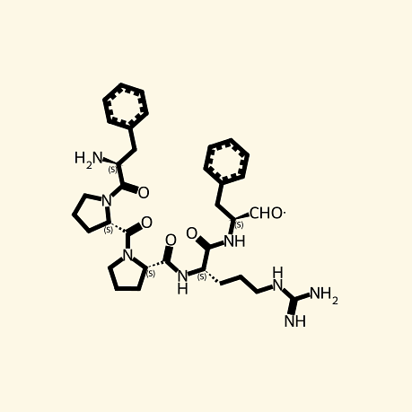 N=C(N)NCCC[C@H](NC(=O)[C@@H]1CCCN1C(=O)[C@@H]1CCCN1C(=O)[C@@H](N)Cc1ccccc1)C(=O)N[C@H]([C]=O)Cc1ccccc1